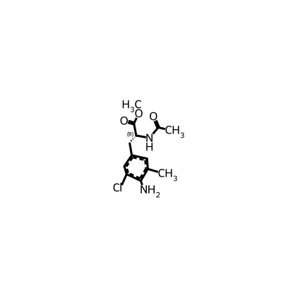 COC(=O)[C@@H](Cc1cc(C)c(N)c(Cl)c1)NC(C)=O